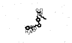 CCCCc1nc(Cl)c(C=O)n1Cc1ccc(C2CCCC2CC(=O)NC(C(N)=O)c2ccccc2)cc1